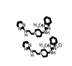 Cn1c(NC2CCN(CCNc3ncccn3)CC2)nc2ccccc21.Cn1c(NC2CCN(CCNc3ncccn3)CC2)nc2ccccc21.O